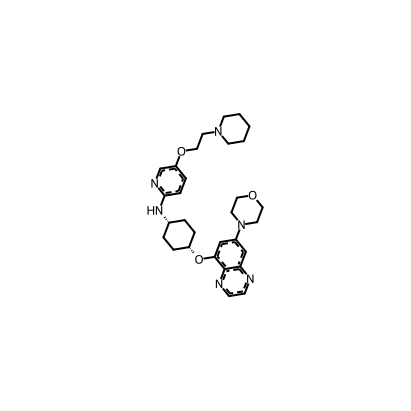 c1cnc2c(O[C@H]3CC[C@@H](Nc4ccc(OCCN5CCCCC5)cn4)CC3)cc(N3CCOCC3)cc2n1